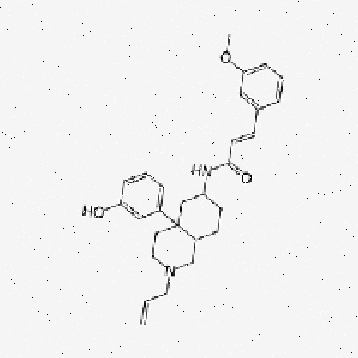 C=CCN1CCC2(c3cccc(O)c3)CC(NC(=O)/C=C/c3cccc(OC)c3)CCC2C1